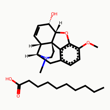 CCCCCCCCCC(=O)O.COc1ccc2c3c1O[C@H]1[C@@H](O)C=C[C@H]4[C@@H](C2)N(C)CC[C@@]341